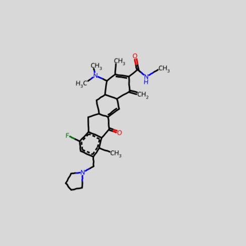 C=C1C(C(=O)NC)=C(C)C(N(C)C)C2CC3Cc4c(F)cc(CN5CCCC5)c(C)c4C(=O)C3=CC12